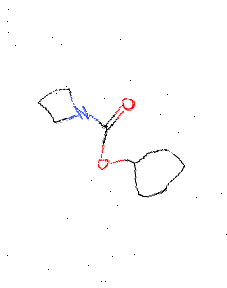 O=C(OC1CCCC1)N1CCC1